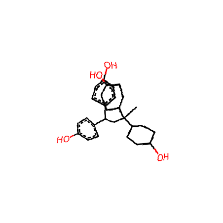 CC(CC(c1ccc(O)cc1)c1ccc(O)cc1)(C1CCC(O)CC1)C1CCC(O)CC1